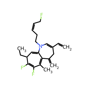 C=CC1=CN(CC/C=C\CF)C2=CC(CC)C(F)=C(F)C(C)=C2C(=C)C1